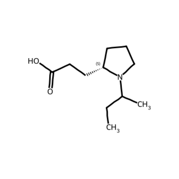 CCC(C)N1CCC[C@H]1CCC(=O)O